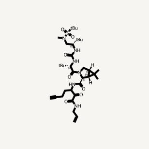 C#CCCC(NC(=O)[C@@H]1[C@@H]2[C@H](CN1C(=O)[C@@H](NC(=O)N[C@H](CN(C)S(=O)(=O)C(C)(C)C)C(C)(C)C)C(C)(C)C)C2(C)C)C(=O)C(=O)NCC=C